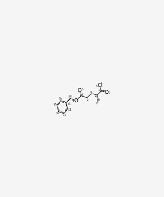 O=C(CCC(F)C(=O)Cl)OCc1ccccc1